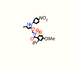 COc1cc(C(C)C)c2c(c1)S(=O)(=O)N(COc1cc(C)nn1-c1ccc([N+](=O)[O-])cc1)C2=O